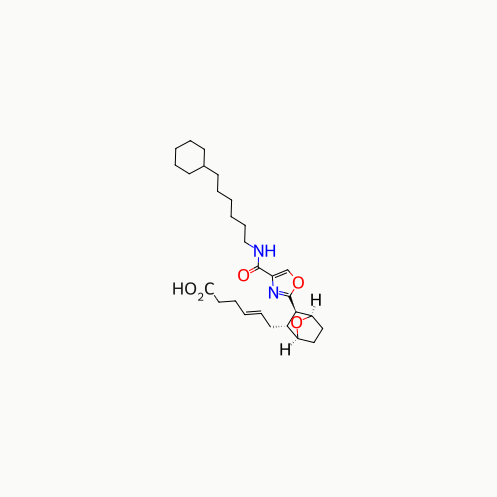 O=C(O)CC/C=C/C[C@@H]1[C@@H](c2nc(C(=O)NCCCCCCC3CCCCC3)co2)[C@H]2CC[C@@H]1O2